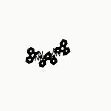 c1ccc2c(c1)c1ccccc1c1nc(-n3c4ccccc4c4c5c6ccccc6n(-c6ncc7c8ccccc8c8ccccc8c7n6)c5ccc43)ncc21